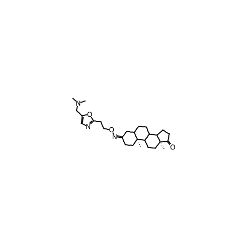 CN(C)Cc1cnc(CCON=C2CC[C@@]3(C)C(CCC4C3CC[C@]3(C)C(=O)CCC43)C2)o1